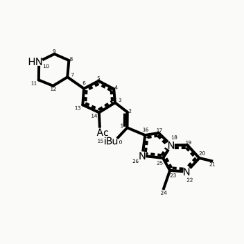 CCC(C)/C(=C\c1ccc(C2CCNCC2)cc1C(C)=O)c1cn2cc(C)nc(C)c2n1